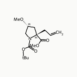 C=CC[C@]1(C(=O)OC)C[C@@H](OC)CN1C(=O)OC(C)(C)C